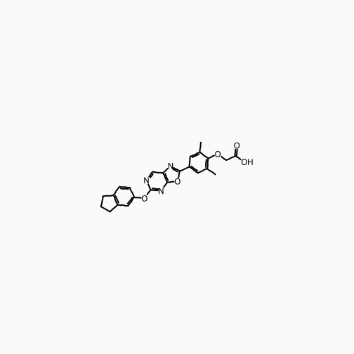 Cc1cc(-c2nc3cnc(Oc4ccc5c(c4)CCC5)nc3o2)cc(C)c1OCC(=O)O